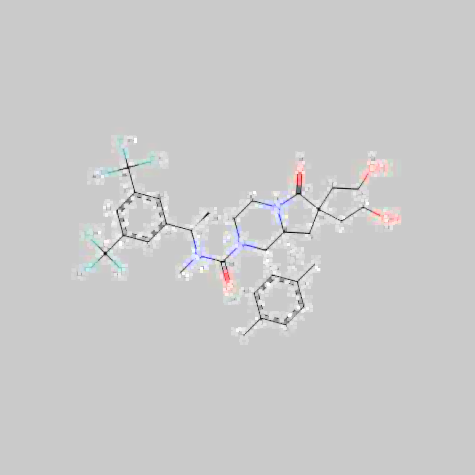 Cc1ccc(C)c([C@H]2[C@@H]3CC(CCO)(CCO)C(=O)N3CCN2C(=O)N(C)[C@H](C)c2cc(C(F)(F)F)cc(C(F)(F)F)c2)c1